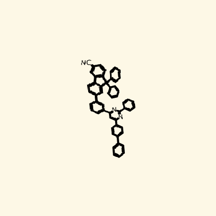 N#Cc1ccc2c(c1)-c1ccc(-c3cccc(-c4cc(-c5ccc(-c6ccccc6)cc5)nc(-c5ccccc5)n4)c3)cc1C2(c1ccccc1)c1ccccc1